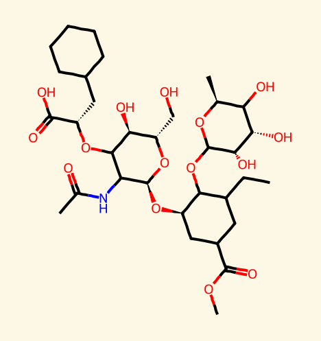 CCC1CC(C(=O)OC)C[C@@H](O[C@@H]2O[C@@H](CO)[C@H](O)C(O[C@@H](CC3CCCCC3)C(=O)O)C2NC(C)=O)C1OC1O[C@@H](C)C(O)[C@H](O)[C@@H]1O